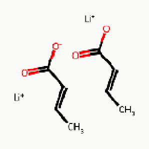 C/C=C/C(=O)[O-].C/C=C/C(=O)[O-].[Li+].[Li+]